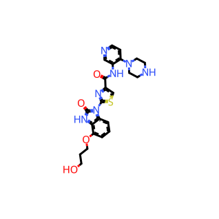 O=C(Nc1cnccc1N1CCNCC1)c1csc(-n2c(=O)[nH]c3c(OCCCO)cccc32)n1